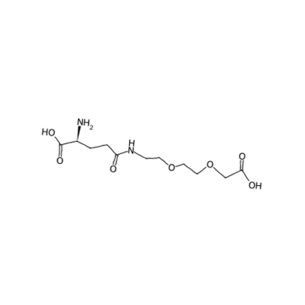 N[C@@H](CCC(=O)NCCOCCOCC(=O)O)C(=O)O